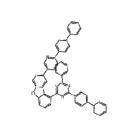 c1ccc(-c2ccc(-c3ccc(-c4ccc5oc6cccc(-c7nc(-c8ccccc8)nc(-c8ccc(-c9ccccc9)cc8)n7)c6c5c4)cn3)cc2)cc1